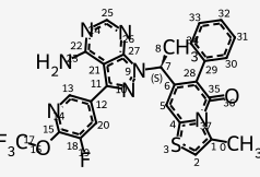 Cc1csc2cc([C@H](C)n3nc(-c4cnc(OC(F)(F)F)c(F)c4)c4c(N)ncnc43)c(-c3ccccc3)c(=O)n12